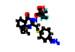 Cc1cccc2c(=O)[nH]c(CSC3CCCC(N)CC3)nc12.O=C(O)C(F)(F)F